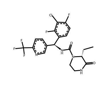 CC[C@@H]1C(=O)NCCN1C(=O)N[C@@H](c1ccc(C(F)(F)F)nc1)c1ccc(F)c(Cl)c1F